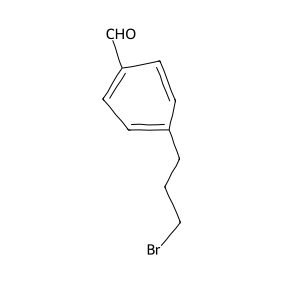 O=Cc1ccc(CCCBr)cc1